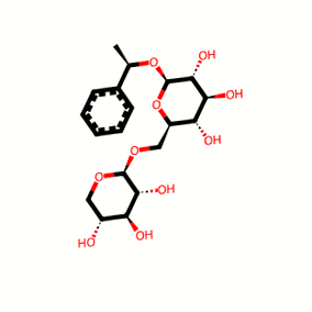 C[C@@H](O[C@@H]1O[C@H](CO[C@@H]2OC[C@@H](O)[C@H](O)[C@H]2O)[C@@H](O)[C@H](O)[C@H]1O)c1ccccc1